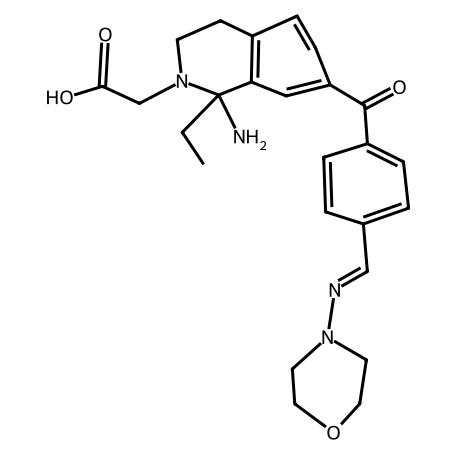 CCC1(N)c2cc(C(=O)c3ccc(C=NN4CCOCC4)cc3)ccc2CCN1CC(=O)O